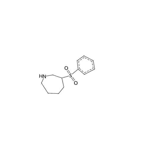 O=S(=O)(c1ccccc1)C1CCCCNC1